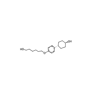 OCCCCCCOc1ccc([C@H]2CC[C@H](O)CC2)cc1